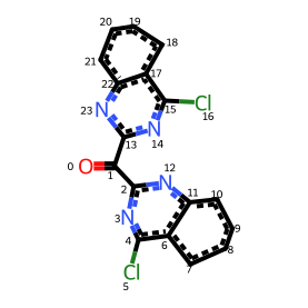 O=C(c1nc(Cl)c2ccccc2n1)c1nc(Cl)c2ccccc2n1